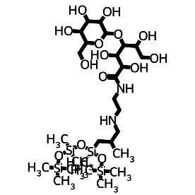 CC(CNCCNC(=O)C(O)C(O)C(OC1OC(CO)C(O)C(O)C1O)C(O)CO)C[Si](C)(O[Si](C)(C)C)O[Si](C)(C)O[Si](C)(C)C